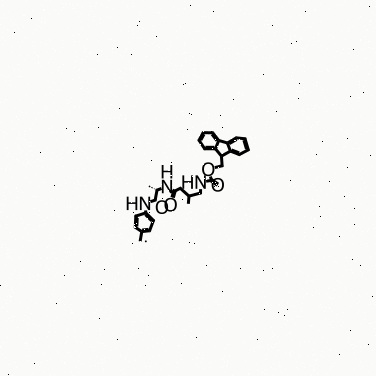 [CH2]c1ccc(NC(=O)[C@H](C)NC(=O)CC(C)CNC(=O)OCC2c3ccccc3-c3ccccc32)cc1